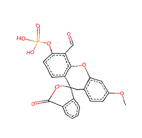 COc1ccc2c(c1)Oc1c(ccc(OP(=O)(O)O)c1C=O)C21OC(=O)c2ccccc21